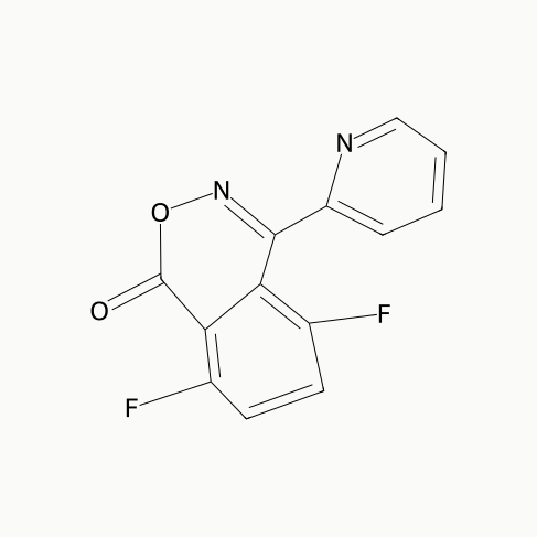 O=c1onc(-c2ccccn2)c2c(F)ccc(F)c12